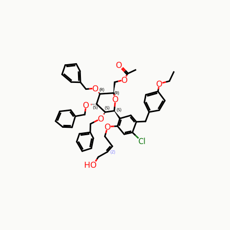 CCOc1ccc(Cc2cc([C@@H]3O[C@H](COC(C)=O)[C@@H](OCc4ccccc4)[C@@H](OCc4ccccc4)[C@H]3OCc3ccccc3)c(OC/C=C\CO)cc2Cl)cc1